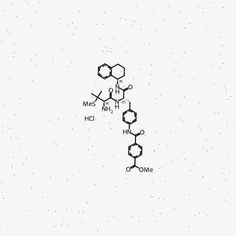 COC(=O)c1ccc(C(=O)Nc2ccc(C[C@H](NC(=O)[C@@H](N)C(C)(C)SC)C(=O)N[C@@H]3CCCc4ccccc43)cc2)cc1.Cl